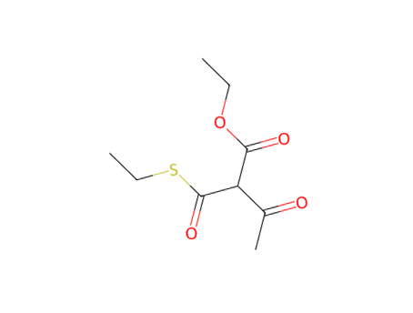 CCOC(=O)C(C(C)=O)C(=O)SCC